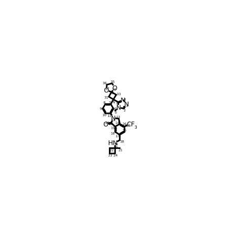 Cn1cnnc1C1(c2cccc(N3Cc4c(cc(CNC5(C)CCC5)cc4C(F)(F)F)C3=O)c2)CC2(C1)OCCO2